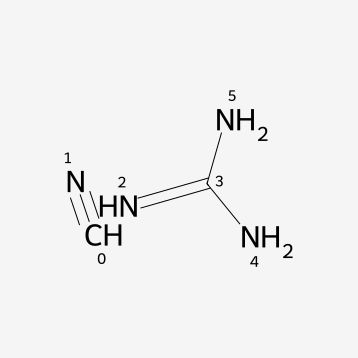 C#N.N=C(N)N